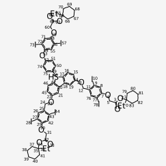 CCC1(OC(=O)COc2cc(I)c(COc3ccc4c(c3)-c3cc(OCc5cc(I)c(OCC(=O)OC6(CC)CCCCC6)cc5I)ccc3[SH]4c3ccc(Oc4cc(I)c(OCC(=O)OC5(CC)CCCCC5)cc4I)cc3)cc2I)CCCCC1